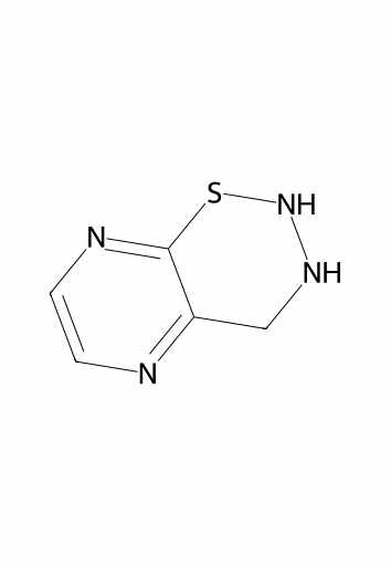 c1cnc2c(n1)CNNS2